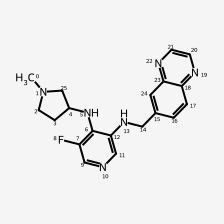 CN1CCC(Nc2c(F)cncc2NCc2ccc3nccnc3c2)C1